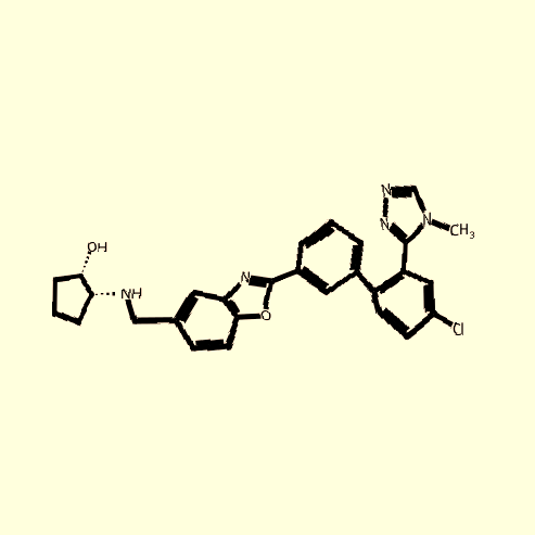 Cn1cnnc1-c1cc(Cl)ccc1-c1cccc(-c2nc3cc(CN[C@@H]4CCC[C@@H]4O)ccc3o2)c1